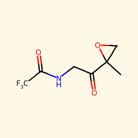 CC1(C(=O)CNC(=O)C(F)(F)F)CO1